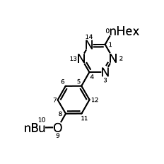 CCCCCCc1nnc(-c2ccc(OCCCC)cc2)nn1